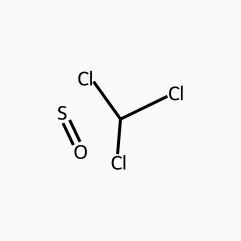 ClC(Cl)Cl.O=S